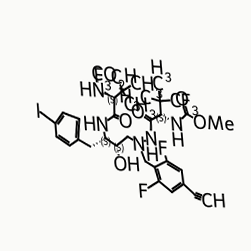 C#Cc1cc(F)c(CN(C[C@H](O)[C@H](Cc2ccc(I)cc2)NC(=O)[C@@H](NC(=O)O)C(C)(C)C(F)(F)F)NC(=O)[C@@H](NC(=O)OC)C(C)(C)C(F)(F)F)c(F)c1